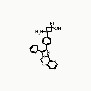 CCC1(O)CC(N)(c2ccc(-c3nc4n(c3-c3ccccc3)COc3cccnc3-4)cc2)C1